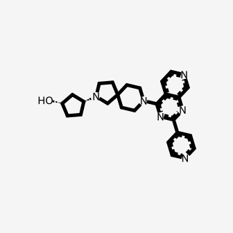 O[C@H]1CC[C@@H](N2CCC3(CCN(c4nc(-c5ccncc5)nc5cnccc45)CC3)C2)C1